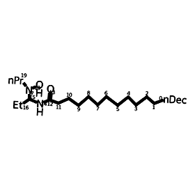 CCCCCCCCCCCCCCCCCCCCCC(=O)NC(CC)N(O)CCC